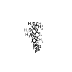 COC1(c2cccc(OS(=O)(=O)C(F)(F)F)c2)C(C)CCCC1CN(C)C(=O)OC(C)(C)C